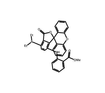 CCN(CC)c1ccc(Nc2ccccc2C(=O)OC)c2c1C(=O)OC21c2ccccc2Oc2ccccc21